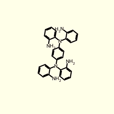 Nc1ccccc1N(c1ccc(N(c2ccccc2N)c2ccccc2N)cc1)c1ccccc1N